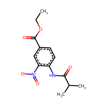 CCOC(=O)c1ccc(NC(=O)C(C)C)c([N+](=O)[O-])c1